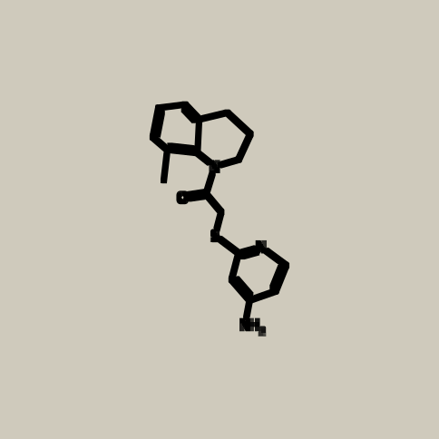 Cc1cccc2c1N(C(=O)CSc1cc(N)ccn1)CCC2